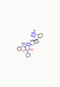 CCCCCc1nc2c(c(=O)n(-c3ccccc3)c(=O)n2C(C)c2ccccc2)n1Cc1ccc(-c2ccccc2-c2nnn[nH]2)cc1